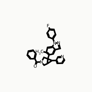 Cc1cc2c(cnn2-c2ccc(F)cc2)cc1C12CN(C(=O)c3ccccc3)CC1C2c1cccnc1